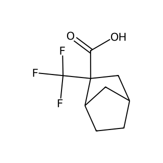 O=C(O)C1(C(F)(F)F)CC2CCC1C2